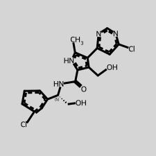 Cc1[nH]c(C(=O)N[C@H](CO)c2cccc(Cl)c2)c(CO)c1-c1cc(Cl)ncn1